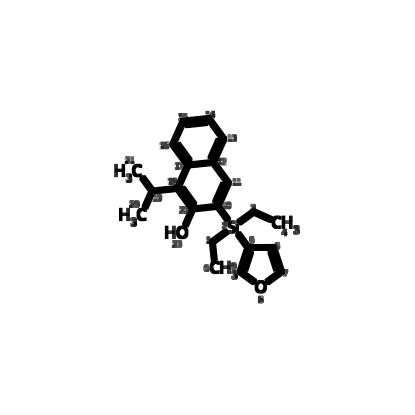 CC[Si](CC)(c1ccoc1)c1cc2ccccc2c(C(C)C)c1O